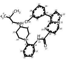 CC(C)CNC1CCN(c2ccccc2NC(=O)c2ccn3ncc(-c4cccc(Cl)c4)c3n2)CC1